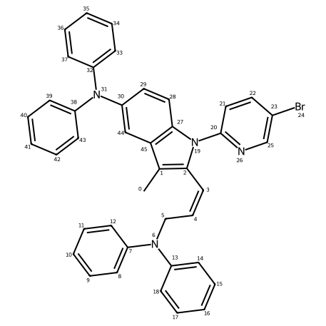 Cc1c(/C=C\CN(c2ccccc2)c2ccccc2)n(-c2ccc(Br)cn2)c2ccc(N(c3ccccc3)c3ccccc3)cc12